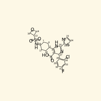 O=C(O)C1=C(C2CCC(NS(=O)(=O)C3COC3)CC2)NC(c2nccs2)=NC1c1ccc(F)cc1Cl